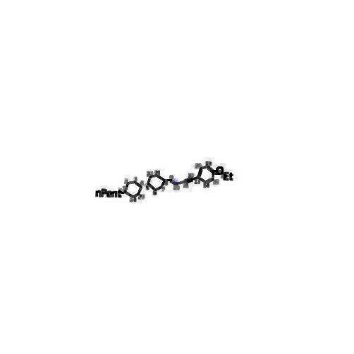 CCCCC[C@H]1CC[C@H](C2CCC(/C=C/C#Cc3ccc(OCC)cc3)CC2)CC1